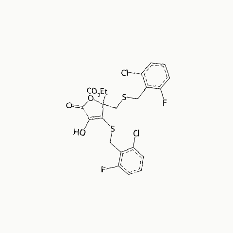 CCOC(=O)C1(CSCc2c(F)cccc2Cl)OC(=O)C(O)=C1SCc1c(F)cccc1Cl